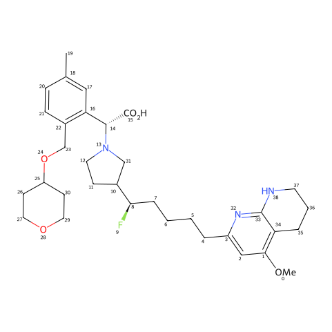 COc1cc(CCCC[C@@H](F)C2CCN([C@@H](C(=O)O)c3cc(C)ccc3COC3CCOCC3)C2)nc2c1CCCN2